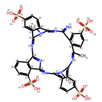 Cc1nc2c3cc(S(=O)(=O)O)ccc3c(nc3nc(nc4c5cc(S(=O)(=O)O)ccc5c(nc(=N)c5cc(S(=O)(=O)O)ccc15)n4C)-c1cccc(S(=O)(=O)O)c1-3)n2C